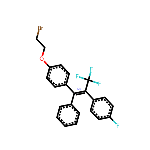 Fc1ccc(/C(=C(\c2ccccc2)c2ccc(OCCBr)cc2)C(F)(F)F)cc1